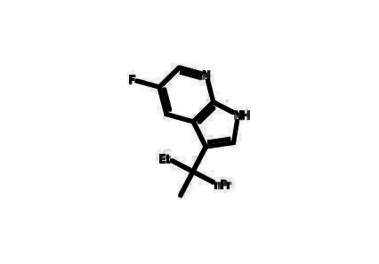 CCCC(C)(CC)c1c[nH]c2ncc(F)cc12